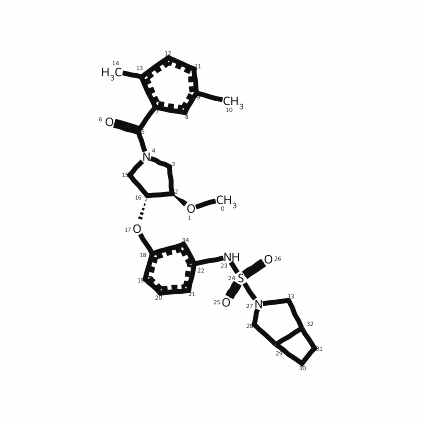 CO[C@@H]1CN(C(=O)c2cc(C)ccc2C)C[C@H]1Oc1cccc(NS(=O)(=O)N2CC3CCC3C2)c1